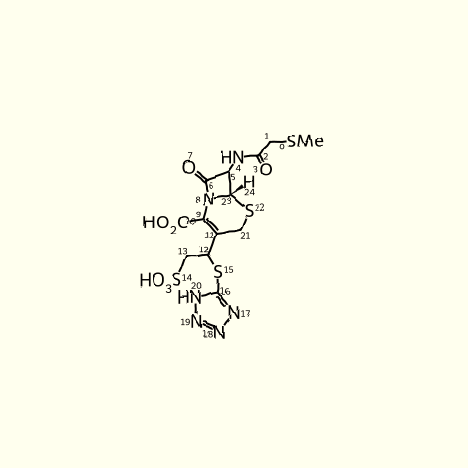 CSCC(=O)NC1C(=O)N2C(C(=O)O)=C(C(CS(=O)(=O)O)Sc3nnn[nH]3)CS[C@@H]12